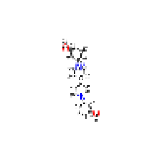 COc1cccc(-[n+]2ccc(-c3cc[n+](-c4cccc(OC)c4)cc3)cc2)c1